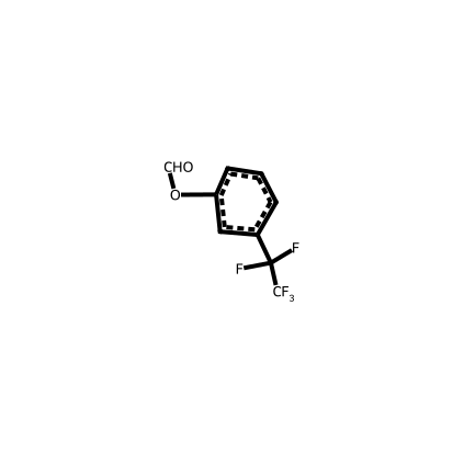 O=COc1cccc(C(F)(F)C(F)(F)F)c1